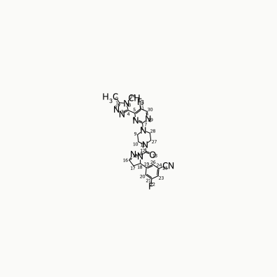 Cc1nnc(-c2nc(N3CCN(C(=O)N4N=CCC4c4cc(F)cc(C#N)c4)CC3)ncc2F)n1C